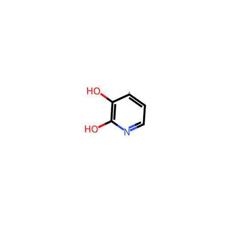 Oc1[c]ccnc1O